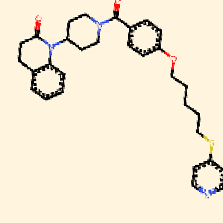 O=C(c1ccc(OCCCCCSc2ccncc2)cc1)N1CCC(N2C(=O)CCc3ccccc32)CC1